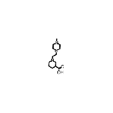 CN1CCN(CCN2CCCC(C(=O)O)C2)CC1